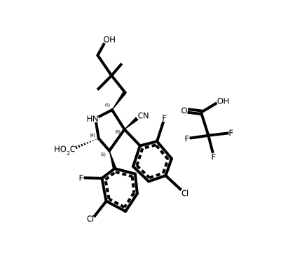 CC(C)(CO)C[C@@H]1N[C@@H](C(=O)O)[C@H](c2cccc(Cl)c2F)[C@@]1(C#N)c1ccc(Cl)cc1F.O=C(O)C(F)(F)F